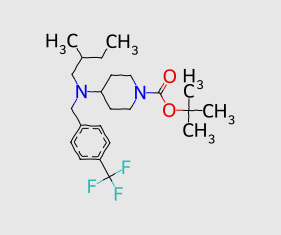 CCC(C)CN(Cc1ccc(C(F)(F)F)cc1)C1CCN(C(=O)OC(C)(C)C)CC1